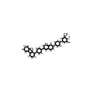 Cc1cc(-c2ccc(-c3ccc4cc(-c5ccc(-c6cccc7c6oc6ccccc67)cc5)cnc4c3)cc2)cc(C(F)(F)F)c1